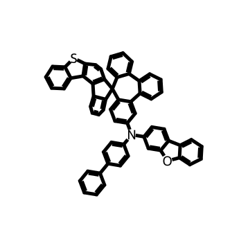 c1ccc(-c2ccc(N(c3ccc4c(c3)-c3ccccc3-c3ccccc3C43c4ccccc4-c4c3ccc3sc5ccccc5c43)c3ccc4c(c3)oc3ccccc34)cc2)cc1